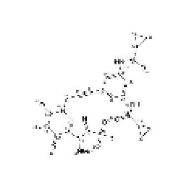 CNn1c(S(C)(=O)=O)nc2c1c(=O)n(C)c(=O)n2CC#Cc1cc(NC(=O)C2CC2)cc(NC(=O)C2CC2)c1